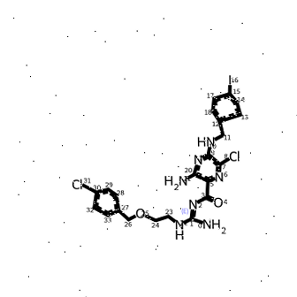 N/C(=N\C(=O)c1nc(Cl)c(NCc2ccc(I)cc2)nc1N)NCCOCc1ccc(Cl)cc1